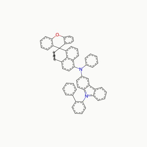 c1ccc(-c2ccccc2-n2c3ccccc3c3cc(N(c4ccccc4)c4ccc5c6c(cccc46)C4(c6ccccc6Oc6ccccc64)c4ccccc4-5)ccc32)cc1